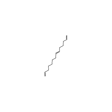 C=CCCCC=CCCCCCC=C